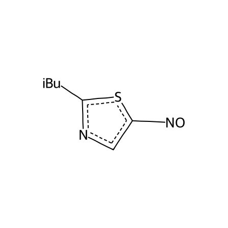 CCC(C)c1ncc(N=O)s1